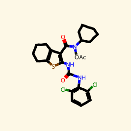 CC(=O)ON(C(=O)c1c(NC(=O)Nc2c(Cl)cccc2Cl)sc2c1CCCC2)C1CCCCC1